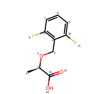 C[C@@H](OCc1c(F)cccc1F)C(=O)O